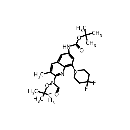 Cc1cc2cc(NC(=O)OC(C)(C)C)cc(N3CCC(F)(F)CC3)c2nc1N(C=O)OC(C)(C)C